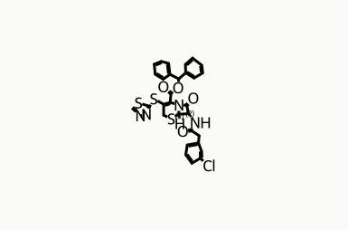 O=C(Cc1cccc(Cl)c1)N[C@@H]1C(=O)N2C(C(=O)OC(c3ccccc3)c3ccccc3)=C(Sc3nncs3)CS[C@@H]12